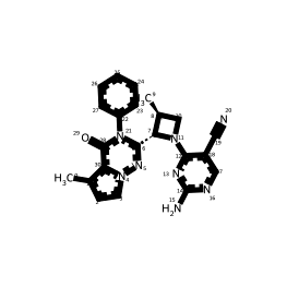 Cc1ccn2nc([C@@H]3[C@@H](C)CN3c3nc(N)ncc3C#N)n(-c3ccccc3)c(=O)c12